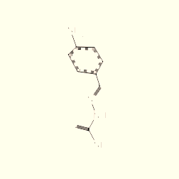 NC(=S)NN=Cc1ccc(N)cc1